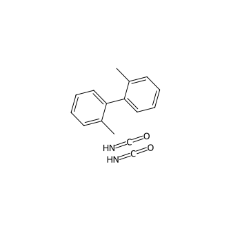 Cc1ccccc1-c1ccccc1C.N=C=O.N=C=O